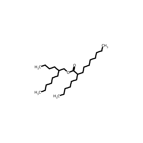 CCCCCCCCC(CCCCCC)C(=O)OCC(CCCC)CCCCCC